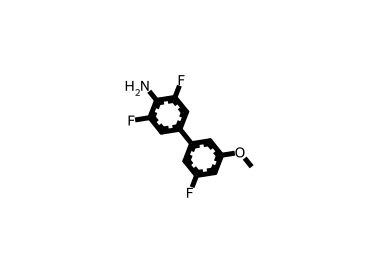 COc1cc(F)cc(-c2cc(F)c(N)c(F)c2)c1